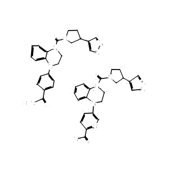 NC(=O)c1ccc(N2CCN(C(=O)N3CCC(c4cn[nH]c4)C3)c3ccccc32)cc1.NC(=O)c1ccc(N2CCN(C(=O)N3CCC(c4cn[nH]c4)C3)c3ccccc32)cn1